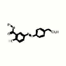 CCNC(=O)c1cc(/N=N/c2ccc(CC(=O)O)cc2)ccc1O